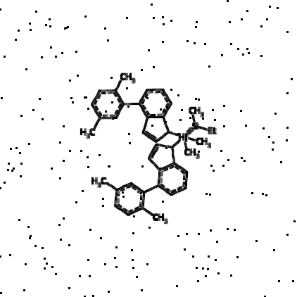 CC[Si](C)=[Hf]([CH3])([CH3])([CH]1C=Cc2c(-c3cc(C)ccc3C)cccc21)[CH]1C=Cc2c(-c3cc(C)ccc3C)cccc21